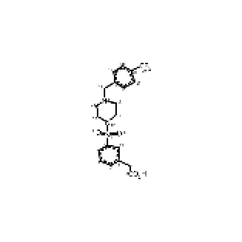 O=C(O)Cc1cccc(S(=O)(=O)N2CCN(Cc3ccc(C(F)(F)F)cc3)CC2)c1